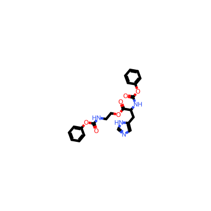 O=C(NCCOC(=O)C(Cc1cnc[nH]1)NC(=O)Oc1ccccc1)Oc1ccccc1